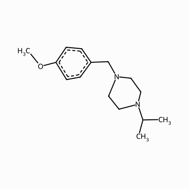 COc1ccc(CN2CCN(C(C)C)CC2)cc1